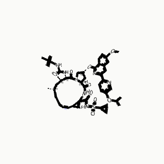 COc1ccc2c(O[C@@H]3C[C@H]4C(=O)NC5(C(=O)NS(=O)(=O)C6CC6)CC5/C=C\CC[C@H](C)C[C@@H](C)[C@H](NC(=O)NC(C)(C)C)C(=O)N4C3)nc(-c3ccc(OC(C)C)cn3)cc2c1